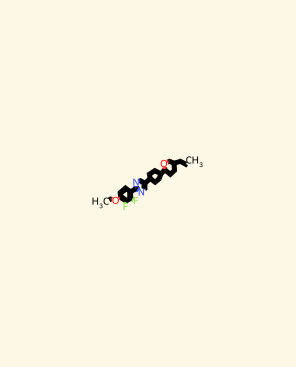 CCCC1CCC(C2CCC(c3cnc(-c4ccc(OCC)c(F)c4F)nc3)CC2)OC1